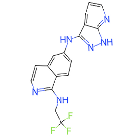 FC(F)(F)CNc1nccc2cc(Nc3n[nH]c4ncccc34)ccc12